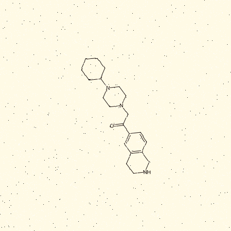 O=C(CN1CCN(C2CCCCC2)CC1)c1ccc2c(c1)CCNC2